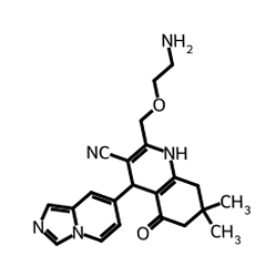 CC1(C)CC(=O)C2=C(C1)NC(COCCN)=C(C#N)C2c1ccn2cncc2c1